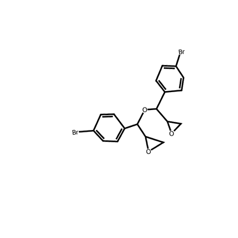 Brc1ccc(C(OC(c2ccc(Br)cc2)C2CO2)C2CO2)cc1